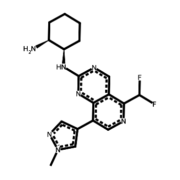 Cn1cc(-c2cnc(C(F)F)c3cnc(N[C@@H]4CCCC[C@@H]4N)nc23)cn1